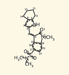 CN1C(=O)/C(=C\c2cc3c([nH]2)CCCC3)c2cc(S(=O)(=O)N(C)C)ccc21